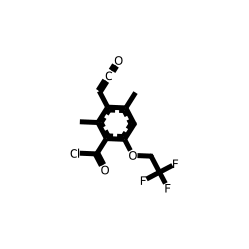 Cc1cc(OCC(F)(F)F)c(C(=O)Cl)c(C)c1C=C=O